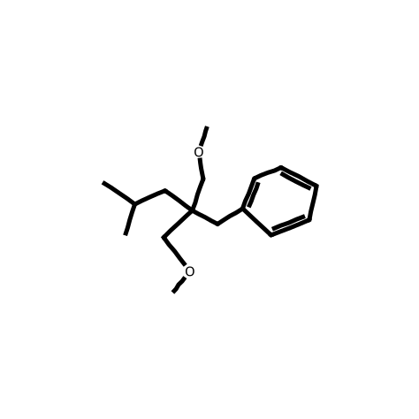 COCC(COC)(Cc1ccccc1)CC(C)C